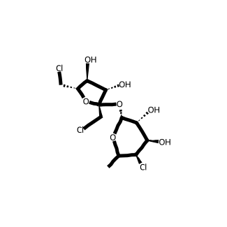 CC1O[C@H](O[C@]2(CCl)O[C@H](CCl)[C@@H](O)[C@@H]2O)[C@H](O)[C@@H](O)[C@H]1Cl